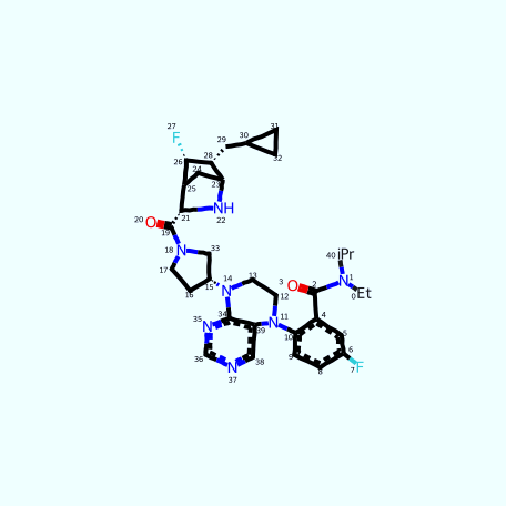 CCN(C(=O)c1cc(F)ccc1N1CCN([C@@H]2CCN(C(=O)[C@H]3NC4CC3[C@H](F)[C@@H]4CC3CC3)C2)c2ncncc21)C(C)C